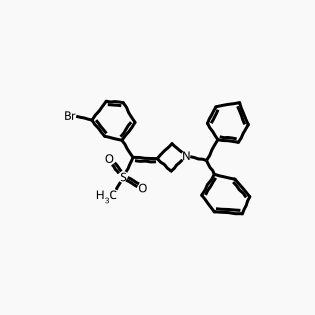 CS(=O)(=O)C(=C1CN(C(c2ccccc2)c2ccccc2)C1)c1cccc(Br)c1